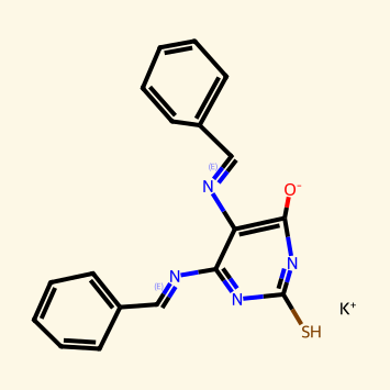 [K+].[O-]c1nc(S)nc(/N=C/c2ccccc2)c1/N=C/c1ccccc1